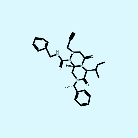 C#CCN1CC(=O)N2[C@@H](C(C)CC)C(=O)N([C@@H](C)c3ccccc3)C[C@@H]2N1C(=O)NCc1ccccc1